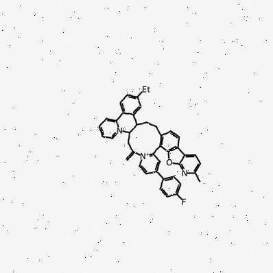 C=C1CC2C(CCc3ccc4c(oc5nc(C)ccc54)c3-c3cc(-c4ccc(F)cc4)cc[n+]31)c1cc(CC)ccc1-c1cccc[n+]12